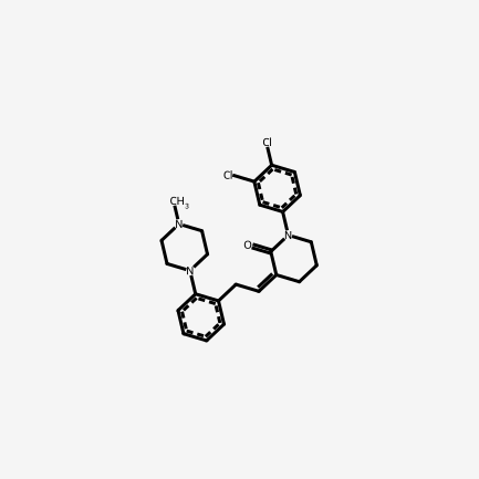 CN1CCN(c2ccccc2CC=C2CCCN(c3ccc(Cl)c(Cl)c3)C2=O)CC1